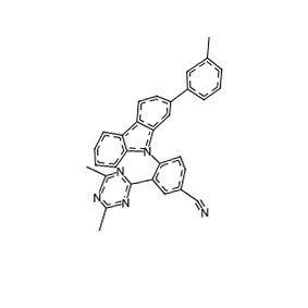 Cc1cccc(-c2ccc3c4ccccc4n(-c4ccc(C#N)cc4-c4nc(C)nc(C)n4)c3c2)c1